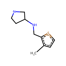 Cc1ccsc1CNC1CC[N]C1